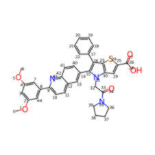 COc1cc(OC)cc(-c2ccc3cc(-c4c(-c5ccccc5)c5sc(C(=O)O)cc5n4CC(=O)N4CCCC4)ccc3n2)c1